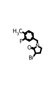 Cc1ccc(CN2CCC(Br)C2=O)cc1F